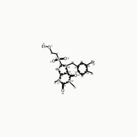 CCOCCS(=O)(=O)c1nc2c(c(=O)n(C)c(=O)n2C)n1Cc1ccc(C)c(Br)c1